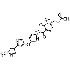 CC(=O)OCc1ncc(C(=O)Nc2ccc(Oc3ccnc(-c4cnn(C)c4)c3)cn2)c(=O)n1C